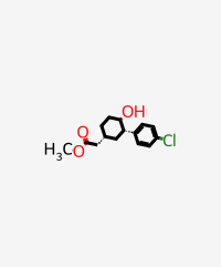 COC(=O)C[C@@H]1CC[C@@H](O)[C@H](c2ccc(Cl)cc2)C1